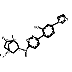 B[C@]12C[C@H](N(C)c3ccc(-c4ccc(-n5ccnc5)cc4O)nn3)C[C@](C)(C1)[C@H](F)C2